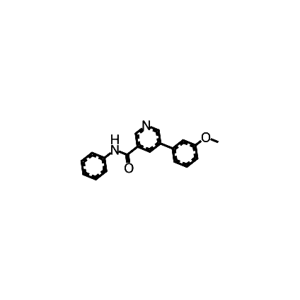 COc1cccc(-c2cncc(C(=O)Nc3ccccc3)c2)c1